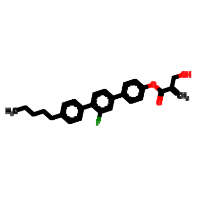 C=C(CO)C(=O)Oc1ccc(-c2ccc(-c3ccc(CCCCC)cc3)c(F)c2)cc1